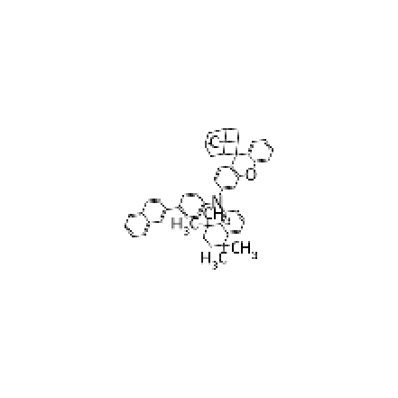 CC1(C)CCC(C)(C)c2c(N(c3ccc(-c4ccc5ccccc5c4)cc3)c3ccc4c(c3)Oc3ccccc3C43C4CC5CC6CC3C64C5)cccc21